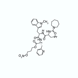 CC(C)CC(NC(=O)N1CCCCCC1)C(=O)NC(Cc1cn(C)c2ccccc12)C(=O)N[C@H](Cc1ccccn1)C(=O)OCCCO[N+](=O)[O-]